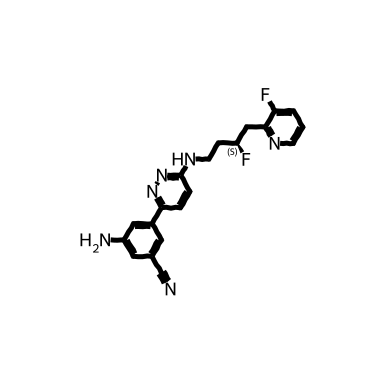 N#Cc1cc(N)cc(-c2ccc(NCC[C@H](F)Cc3ncccc3F)nn2)c1